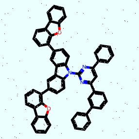 c1ccc(-c2cccc(-c3cc(-c4ccccc4)nc(-n4c5ccc(-c6cccc7c6oc6ccccc67)cc5c5cc(-c6cccc7c6oc6ccccc67)ccc54)n3)c2)cc1